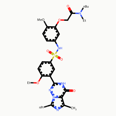 CCCCN(CC)C(=O)COc1cc(NS(=O)(=O)c2ccc(OCC)c(-c3nn4c(CCC)nc(C)c4c(=O)[nH]3)c2)ccc1OC